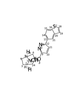 CN1[C@@H]2CC[C@H]1C[C@@H](Oc1ccc(-c3ccc4sccc4c3)nn1)C2